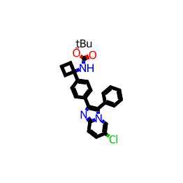 CC(C)(C)OC(=O)NC1(c2ccc(-c3nc4ccc(Cl)cn4c3-c3ccccc3)cc2)CCC1